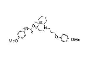 COc1ccc(NC(=S)O[C@H]2CCN(CCCOc3ccc(OC)cc3)C3CCCC[C@H]32)cc1